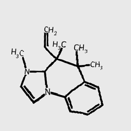 C=CC1(C)C2N(C)C=CN2c2ccccc2C1(C)C